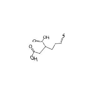 O=C(O)CC(CCC=S)C(=O)O